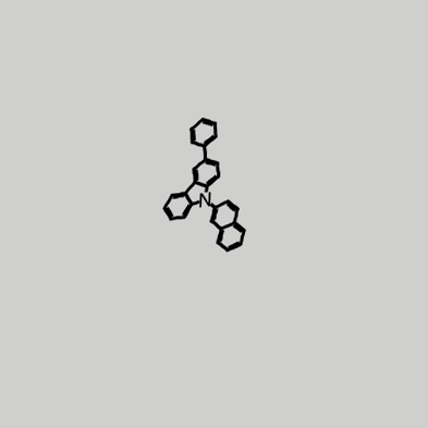 c1ccc(-c2ccc3c(c2)c2ccccc2n3-c2ccc3ccccc3c2)cc1